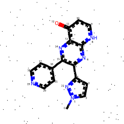 Cn1ccc(-c2nc3[nH]ccc(=O)c3nc2-c2ccncc2)n1